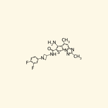 Cc1nc2cc(C)c3c(N)c(C(=O)NC4CN(c5ccc(F)c(F)c5)C4)sc3n2n1